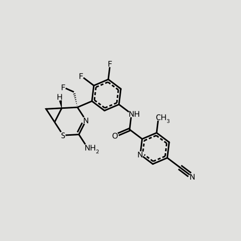 Cc1cc(C#N)cnc1C(=O)Nc1cc(F)c(F)c([C@@]2(CF)N=C(N)SC3C[C@@H]32)c1